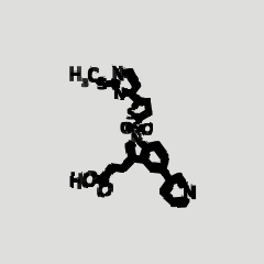 CSc1nccc(-c2ccc(S(=O)(=O)n3cc(CCC(=O)O)c4cc(-c5cccnc5)ccc43)s2)n1